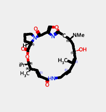 CN[C@@H]1Cc2nc(co2)C(=O)N2CCC[C@@H]2C(=O)O[C@H](C(C)C)[C@H](C)/C=C/C(=O)NC/C=C/C(C)=C/[C@@H](O)C1